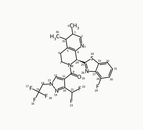 CC1C=NC2=C(CCN(C(=O)c3cn(CC(F)(F)F)nc3C(F)F)[C@@H]2c2nc3c(F)cccc3s2)C1C